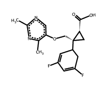 Cc1ncc(OC[C@@]2(C3C=C(F)C=C(F)C3)C[C@H]2C(=O)O)c(C)n1